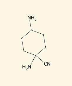 N#CC1(N)CCC(N)CC1